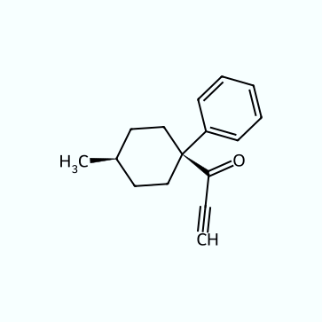 C#CC(=O)[C@]1(c2ccccc2)CC[C@H](C)CC1